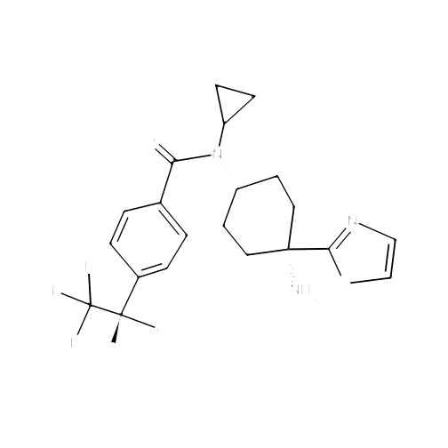 C[C@](O)(c1ccc(C(=O)N(C2CC2)[C@H]2CC[C@](N)(c3nccs3)CC2)cc1)C(F)(F)F